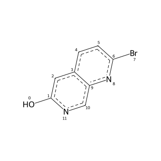 Oc1cc2ccc(Br)nc2cn1